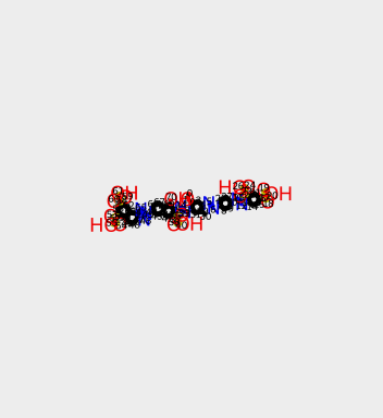 COc1cc(N=Nc2ccc(N=Nc3ccc(S(=O)(=O)O)cc3S(=O)(=O)O)cc2)c(C)cc1N=Nc1c(S(=O)(=O)O)cc2cc(-n3nc4ccc5c(S(=O)(=O)O)cc(S(=O)(=O)O)cc5c4n3)ccc2c1O